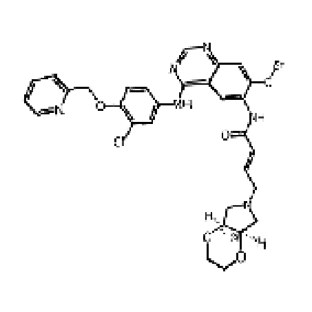 CCOc1cc2ncnc(Nc3ccc(OCc4ccccn4)c(Cl)c3)c2cc1NC(=O)C=CCN1C[C@@H]2OCCO[C@@H]2C1